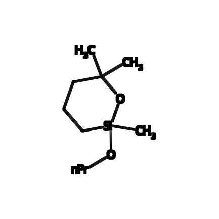 CCCO[Si]1(C)CCCC(C)(C)O1